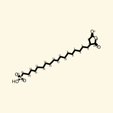 O=C1CC(CCCCCCCCCCCCCCCCCCS(=O)(=O)O)C(=O)O1